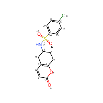 O=c1ccc2c(o1)CCC(NS(=O)(=O)c1ccc(Cl)cc1)C2